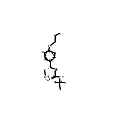 CCCOc1ccc([C@@H](CO)NC(=O)OC(C)(C)C)cc1